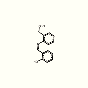 CCCCCCCCSc1ccccc1/N=C\c1ccccc1O